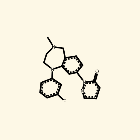 CN1CCN(c2cccc(F)c2)c2cc(-n3ncccc3=O)ccc2C1